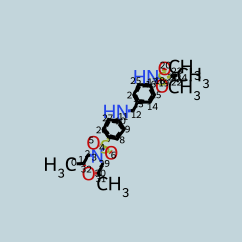 CC1CN(S(=O)(=O)c2ccc(NCc3ccc(NS(=O)(=O)C(C)(C)C)cc3)cc2)CC(C)O1